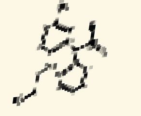 NCCNc1ccc(N)cc1C(c1ccccc1)[SH](=O)=O